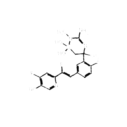 CN1C(N)=NC(C)(c2cc(C=C(F)c3cc(F)c(C#N)cn3)ccc2F)CS1(O)O